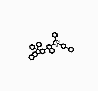 c1ccc(-c2ccc(-c3nc(-c4ccccc4)cc(-c4ccc(-c5ccc6c(c5)C(c5ccccc5)(c5ccccc5)c5cc7ccccc7cc5-6)c5ccccc45)n3)cc2)cc1